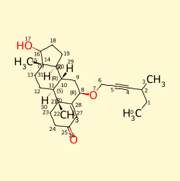 CCC(C)C#CCO[C@@H]1C[C@@H]2[C@H](CC[C@]3(C)C(O)CC[C@@H]23)[C@@]2(C)CCC(=O)C=C12